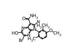 COc1ccc(C)c(-n2c(N)c(C(N)=O)c3nc(O)c(Br)nc32)c1C